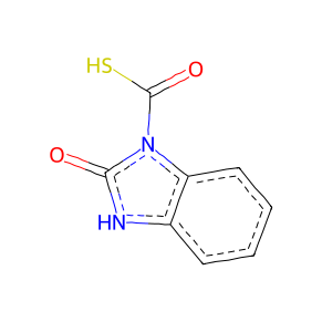 O=C(S)n1c(=O)[nH]c2ccccc21